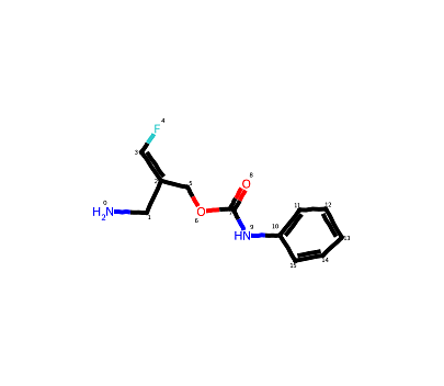 NC/C(=C/F)COC(=O)Nc1ccccc1